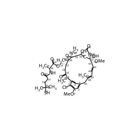 COc1cc2cc(c1Cl)N(C)C(=O)C[C@H](COC(=O)[C@H](C)NC(=O)CCC(C)(C)S)[C@]1(C)O[C@H]1[C@H](C)C1C[C@@](O)(NC(=O)O1)[C@H](OC)/C=C/C=C(\C)C2